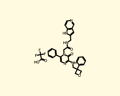 O=C(Cn1c(-c2ccccc2)cnc(NCC2(c3ccccc3)COC2)c1=O)NCc1cc2cnccc2[nH]1.O=C(O)C(F)(F)F